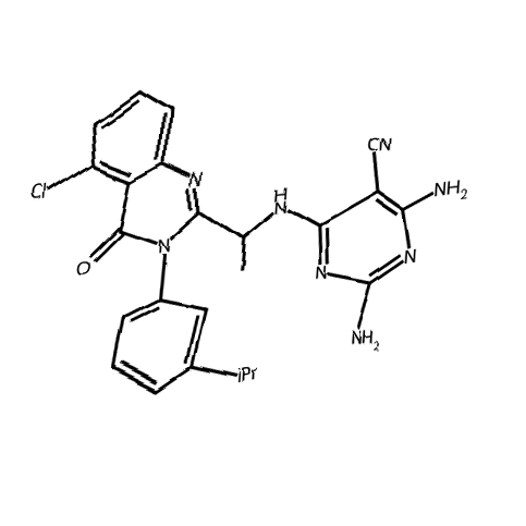 CC(C)c1cccc(-n2c(C(C)Nc3nc(N)nc(N)c3C#N)nc3cccc(Cl)c3c2=O)c1